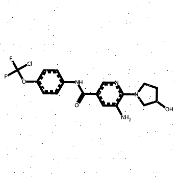 Nc1cc(C(=O)Nc2ccc(OC(F)(F)Cl)cc2)cnc1N1CCC(O)C1